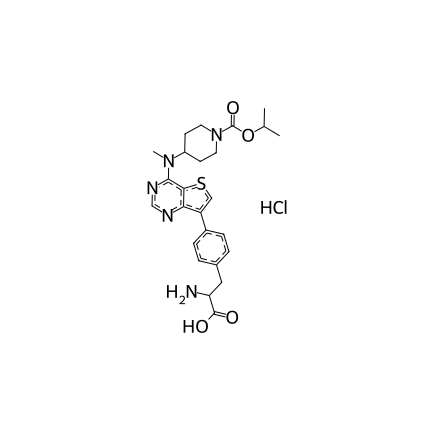 CC(C)OC(=O)N1CCC(N(C)c2ncnc3c(-c4ccc(CC(N)C(=O)O)cc4)csc23)CC1.Cl